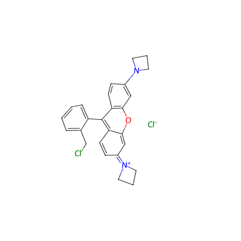 ClCc1ccccc1-c1c2ccc(=[N+]3CCC3)cc-2oc2cc(N3CCC3)ccc12.[Cl-]